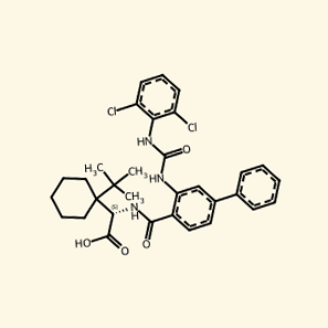 CC(C)(C)C1([C@H](NC(=O)c2ccc(-c3ccccc3)cc2NC(=O)Nc2c(Cl)cccc2Cl)C(=O)O)CCCCC1